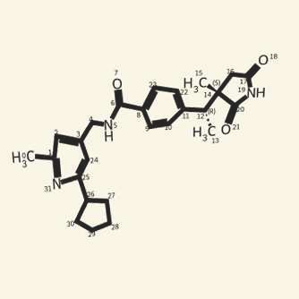 Cc1cc(CNC(=O)c2ccc([C@@H](C)[C@]3(C)CC(=O)NC3=O)cc2)cc(C2CCCC2)n1